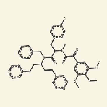 COc1cc(C(=O)C(=O)N(C)C(Cc2ccc(Cl)cc2)C(=O)N(Cc2ccccc2)C(CCc2ccncc2)CCc2ccncc2)cc(OC)c1OC